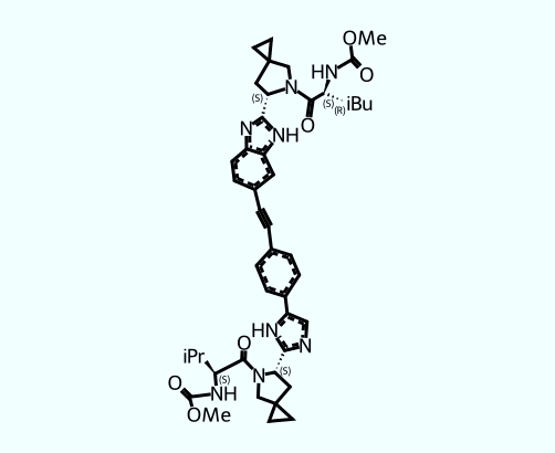 CC[C@@H](C)[C@H](NC(=O)OC)C(=O)N1CC2(CC2)C[C@H]1c1nc2ccc(C#Cc3ccc(-c4cnc([C@@H]5CC6(CC6)CN5C(=O)[C@@H](NC(=O)OC)C(C)C)[nH]4)cc3)cc2[nH]1